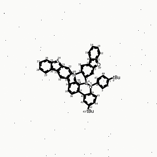 CC(C)(C)c1ccc(N2B3c4cc5oc6ccccc6c5cc4-n4c5cc6sc7ccccc7c6cc5c5ccc(c3c54)-c3cc(C(C)(C)C)ccc32)cc1